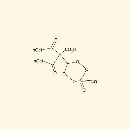 CCCCCCCCC(=O)C(C(=O)O)(C(=O)CCCCCCCC)C1OOS(=O)(=O)OO1